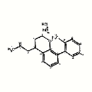 CNCC1CCOc2c(-c3cnccc3C)cccc21.Cl.Cl